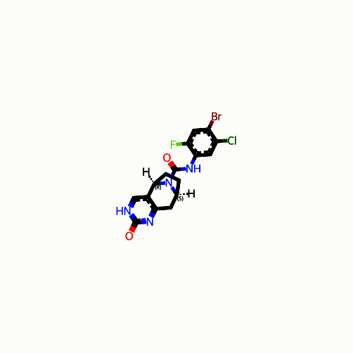 O=C(Nc1cc(Cl)c(Br)cc1F)N1[C@H]2CC[C@@H]1c1c[nH]c(=O)nc1C2